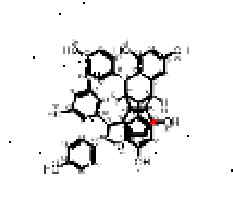 Oc1ccc(C2[C@@H]3c4cc(O)cc(O)c4[C@H](c4ccc(O)cc4)[C@H]2c2c3c(O)cc3c2[C@H](c2cc(O)cc(O)c2)[C@@H](c2ccc(O)cc2)O3)cc1